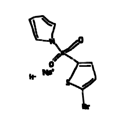 O=S(=O)(c1ccc(Br)s1)n1cccc1.[H-].[Na+]